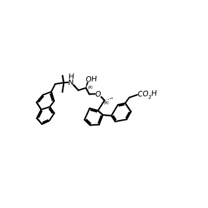 C[C@@H](OC[C@H](O)CNC(C)(C)Cc1ccc2ccccc2c1)c1ccccc1-c1cccc(CC(=O)O)c1